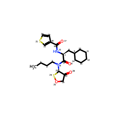 CCCCN(C(=O)[C@H](CC1CCCCC1)NC(=O)c1ccsc1)[C@@H]1SOCC1=O